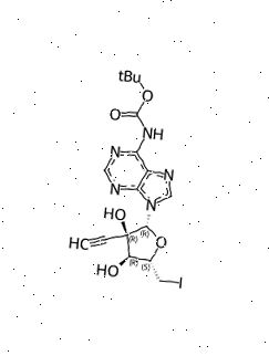 C#C[C@@]1(O)[C@H](O)[C@@H](CI)O[C@H]1n1cnc2c(NC(=O)OC(C)(C)C)ncnc21